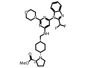 COC(=O)[C@@H]1CCCN1[C@H]1CC[C@H](CNc2cc(-n3c(C(F)F)nc4ccccc43)nc(N3CCOCC3)n2)CC1